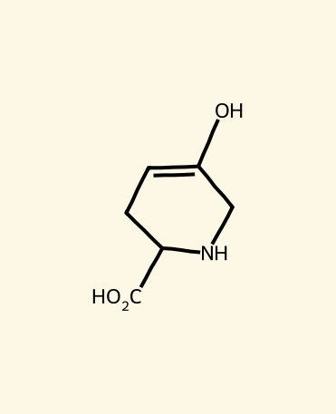 O=C(O)C1CC=C(O)CN1